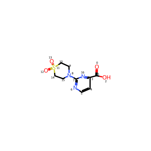 O=C(O)c1ccnc(N2CCS(=O)(=O)CC2)n1